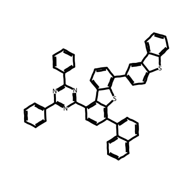 c1ccc(-c2nc(-c3ccccc3)nc(-c3ccc(-c4cccc5ccccc45)c4sc5c(-c6ccc7sc8ccccc8c7c6)cccc5c34)n2)cc1